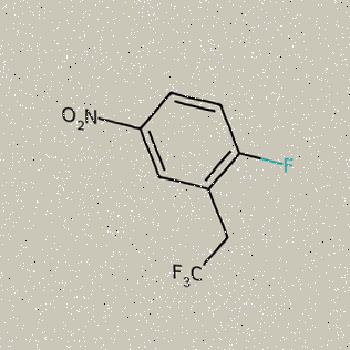 O=[N+]([O-])c1ccc(F)c(CC(F)(F)F)c1